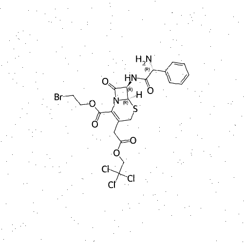 N[C@@H](C(=O)N[C@@H]1C(=O)N2C(C(=O)OCCBr)=C(CC(=O)OCC(Cl)(Cl)Cl)CS[C@H]12)c1ccccc1